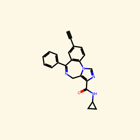 C#Cc1ccc2c(c1)C(c1ccccc1)=NCc1c(C(=O)NC3CC3)ncn1-2